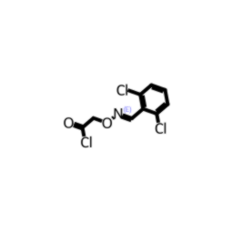 O=C(Cl)CO/N=C/c1c(Cl)cccc1Cl